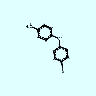 Cc1ccc(Oc2ccc(I)cc2)cc1